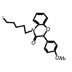 COc1ccc(C2Oc3ccccc3N(CCCCCBr)C2=O)cc1